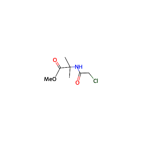 COC(=O)C(C)(C)NC(=O)CCl